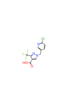 O=C(O)c1cn(Cc2ccc(Cl)nc2)nc1C(F)(F)F